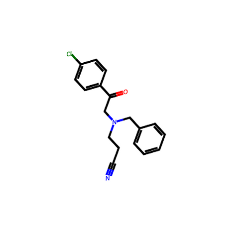 N#CCCN(CC(=O)c1ccc(Cl)cc1)Cc1ccccc1